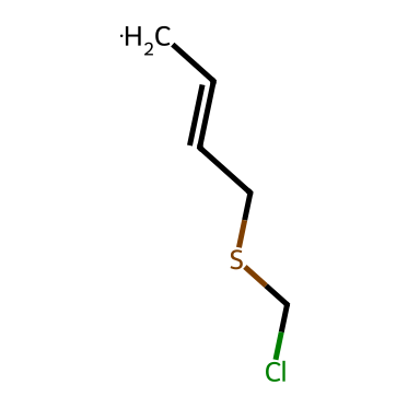 [CH2]C=CCSCCl